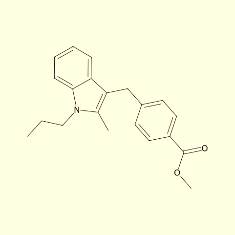 CCCn1c(C)c(Cc2ccc(C(=O)OC)cc2)c2ccccc21